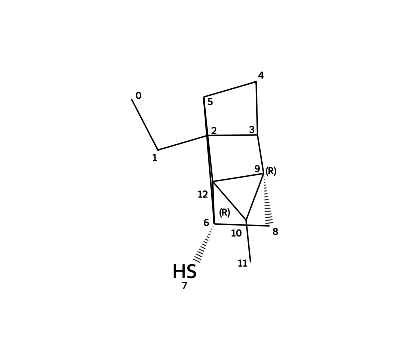 CCC12C3CC1[C@]1(S)C[C@@]34C(C)C241